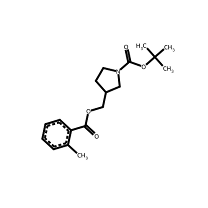 Cc1ccccc1C(=O)OCC1CCN(C(=O)OC(C)(C)C)C1